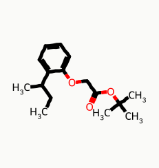 CCC(C)c1ccccc1OCC(=O)OC(C)(C)C